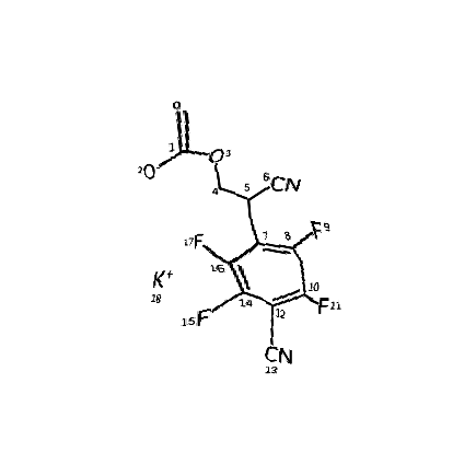 C=C([O-])OCC(C#N)c1c(F)c(F)c(C#N)c(F)c1F.[K+]